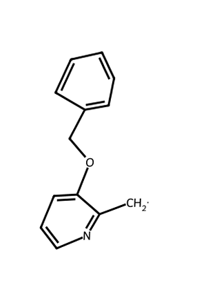 [CH2]c1ncccc1OCc1ccccc1